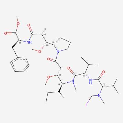 CCC(C)[C@@H]([C@@H](CC(=O)N1CCC[C@H]1[C@H](OC)[C@@H](C)C(=O)N[C@@H](Cc1ccccc1)C(=O)OC)OC)N(C)C(=O)[C@@H](NC(=O)[C@H](C(C)C)N(C)CI)C(C)C